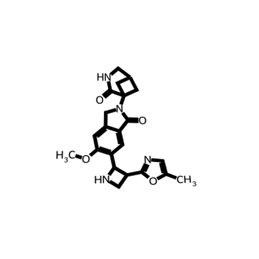 COc1cc2c(cc1C1NCC1c1ncc(C)o1)C(=O)N(C13CC(CNC1=O)C3)C2